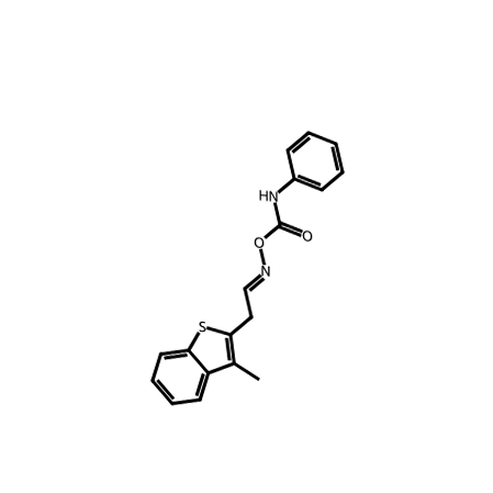 Cc1c(C/C=N/OC(=O)Nc2ccccc2)sc2ccccc12